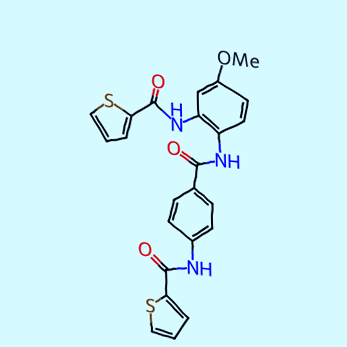 COc1ccc(NC(=O)c2ccc(NC(=O)c3cccs3)cc2)c(NC(=O)c2cccs2)c1